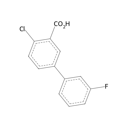 O=C(O)c1cc(-c2cccc(F)c2)ccc1Cl